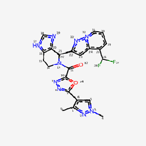 Cc1nn(C)cc1-c1nnc(C(=O)N2CCc3[nH]cnc3[C@H]2c2cc3c(C(F)F)cccn3n2)o1